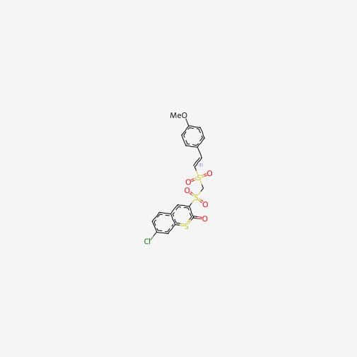 COc1ccc(/C=C/S(=O)(=O)CS(=O)(=O)c2cc3ccc(Cl)cc3sc2=O)cc1